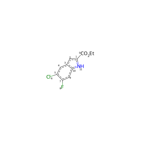 CCOC(=O)c1cc2cc(Cl)c(F)cc2[nH]1